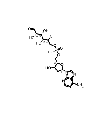 Nc1ncnc2c1ncn2[C@H]1CC(O)[C@@H](COP(=O)(O)OC[C@H](O)[C@@H](O)[C@@H](O)[C@H](O)C=O)O1